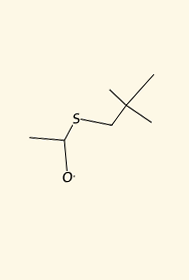 CC([O])SCC(C)(C)C